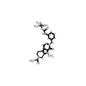 CC(=O)N1CCc2c(n(C)c3c(=O)n(Cc4cccc(NC(=O)OC(C)(C)C)c4)ncc23)C1